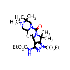 CCOC(=O)Nc1nn(C(=O)OCC)c2c1CN(C(=O)N1CC(C)(C)N(C)C[C@@H]1C)C2(C)C